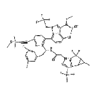 CSN(c1nn(CC(F)(F)F)c2c(-c3ccc(C#CC(C)(C)SC)nc3C(Cc3cc(F)cc(F)c3)NC(=O)Cn3nc(C(F)(F)F)c4c3C(F)(F)C3C(C)C43)ccc(Cl)c12)[S+](C)[O-]